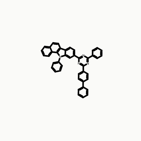 c1ccc(-c2ccc(-c3nc(-c4ccccc4)nc(-c4ccc5c6ccc7ccccc7c6n(-c6ccccc6)c5c4)n3)cc2)cc1